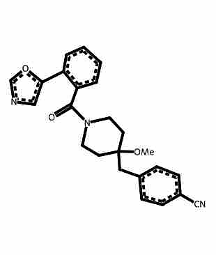 COC1(Cc2ccc(C#N)cc2)CCN(C(=O)c2ccccc2-c2cnco2)CC1